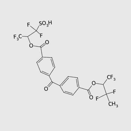 CC(F)(F)C(OC(=O)c1ccc(C(=O)c2ccc(C(=O)OC(C(F)(F)F)C(F)(F)S(=O)(=O)O)cc2)cc1)C(F)(F)F